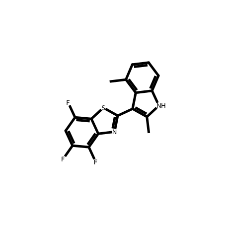 Cc1[nH]c2cccc(C)c2c1-c1nc2c(F)c(F)cc(F)c2s1